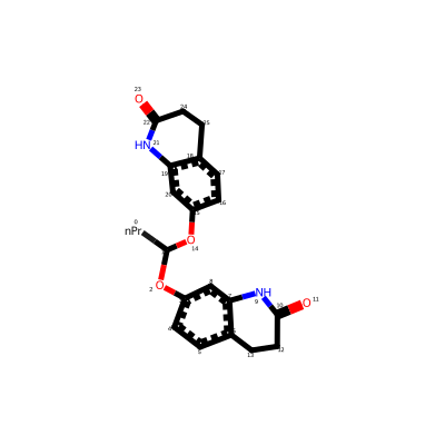 CCCC(Oc1ccc2c(c1)NC(=O)CC2)Oc1ccc2c(c1)NC(=O)CC2